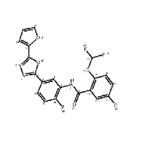 O=C(Nc1cc(-c2nnc(-c3ccco3)o2)ccc1F)c1cc(Cl)ccc1OC(F)F